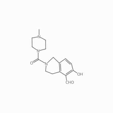 CN1CCN(C(=O)N2CCc3c(ccc(O)c3C=O)C2)CC1